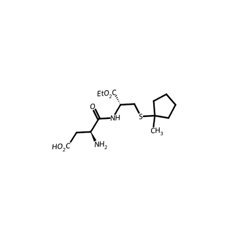 CCOC(=O)[C@H](CSC1(C)CCCC1)NC(=O)[C@@H](N)CC(=O)O